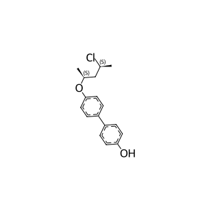 C[C@H](Cl)C[C@H](C)Oc1ccc(-c2ccc(O)cc2)cc1